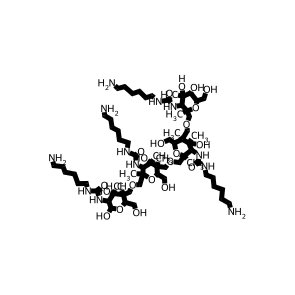 CC1(COCC2(C)C(CO)OC(C)(COCC3(C)C(CO)OC(C)(COCC4(C)C(CO)OC(O)C(NC(=O)NCCCCCCN)C4(C)O)C(NC(=O)NCCCCCCN)C3(C)O)C(NC(=O)NCCCCCCN)C2(C)O)OC(CO)C(O)C(C)(O)C1NC(=O)NCCCCCCN